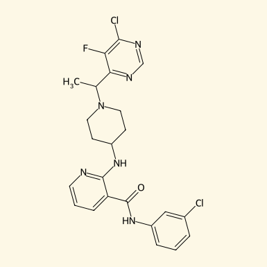 CC(c1ncnc(Cl)c1F)N1CCC(Nc2ncccc2C(=O)Nc2cccc(Cl)c2)CC1